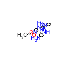 CCCCOC(=O)N1CCC(Nc2nc(NC3CCC(N)CC3)nc3c2ncn3C2CCCC2)CC1